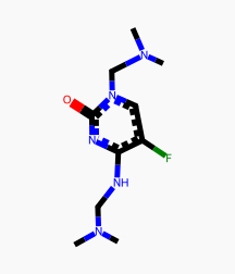 CN(C)CNc1nc(=O)n(CN(C)C)cc1F